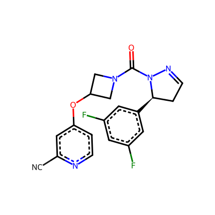 N#Cc1cc(OC2CN(C(=O)N3N=CC[C@H]3c3cc(F)cc(F)c3)C2)ccn1